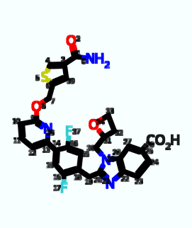 NC(=O)c1csc(COc2cccc(-c3cc(F)c(Cc4nc5ccc(C(=O)O)cc5n4CC4CCO4)cc3F)n2)c1